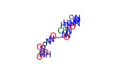 O=C1CCC(N2Cc3cc(N4CCN(C(=O)CCCCCc5nc(-c6ncc(NC(=O)Nc7cnc8ccnn8c7C7CCCCC7)cc6Cl)no5)CC4)ccc3C2=O)C(=O)N1